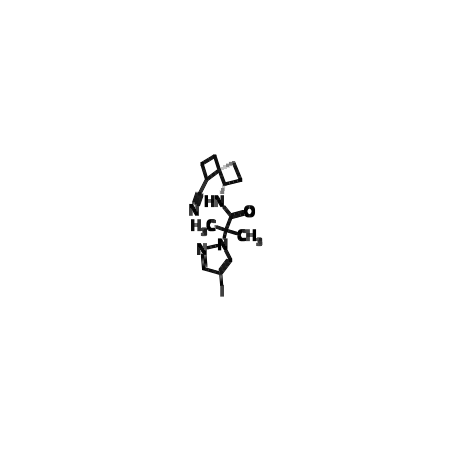 CC(C)(C(=O)N[C@H]1CC[C@]12CCC2C#N)n1cc(I)cn1